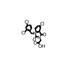 O=C(O)Cn1c(=O)c2cc(Cl)ccc2n(Cc2ccc(Cl)cc2Cl)c1=O